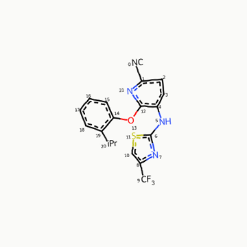 [C-]#[N+]c1ccc(Nc2nc(C(F)(F)F)cs2)c(Oc2ccccc2C(C)C)n1